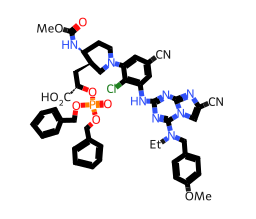 CCN(Cc1ccc(OC)cc1)c1nc(Nc2cc(C#N)cc(N3CC[C@@H](NC(=O)OC)[C@H](C[C@H](OP(=O)(OCc4ccccc4)OCc4ccccc4)C(=O)O)C3)c2Cl)nc2nc(C#N)cn12